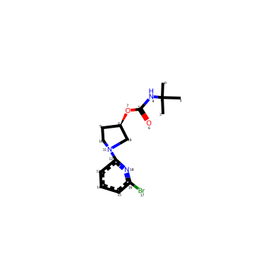 CC(C)(C)NC(=O)O[C@@H]1CCN(c2cccc(Br)n2)C1